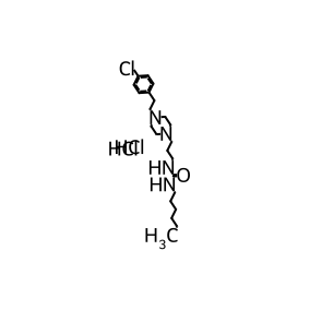 CCCCCCNC(=O)NCCCN1CCN(CCc2ccc(Cl)cc2)CC1.Cl.Cl